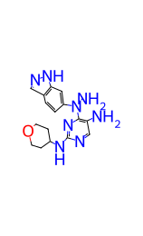 Nc1cnc(NC2CCOCC2)nc1N(N)c1ccc2cn[nH]c2c1